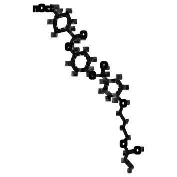 C=CC(=O)OCCCCOc1ccc(C(=O)Oc2ccc(OC(=O)c3ccc(CCCCCCCC)cc3)cc2)cc1